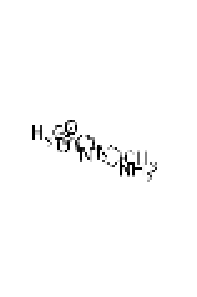 CC1(N)CCN(c2ccc(S(C)(=O)=O)cn2)CC1